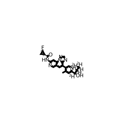 [2H]C([2H])([2H])C([2H])([2H])[C@]([2H])(O)c1cc(C)c(-c2cc3cnc(NC(=O)[C@H]4C[C@H]4F)cc3n3ncnc23)cn1